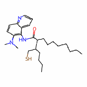 CCCCCCCCC(C(=O)Nc1c(N(C)C)ccc2ncccc12)C(CS)CCCC